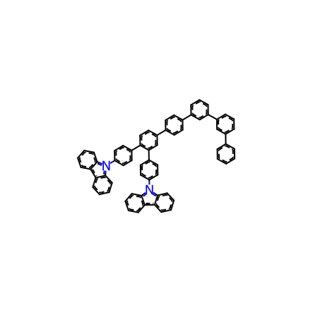 c1ccc(-c2cccc(-c3cccc(-c4ccc(-c5ccc(-c6ccc(-n7c8ccccc8c8ccccc87)cc6)c(-c6ccc(-n7c8ccccc8c8ccccc87)cc6)c5)cc4)c3)c2)cc1